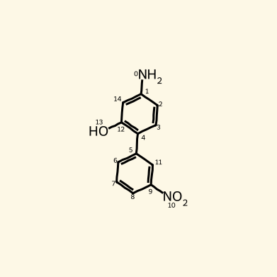 Nc1ccc(-c2cccc([N+](=O)[O-])c2)c(O)c1